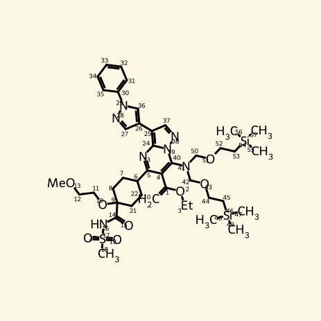 C=C(OCC)c1c(C2CCC(OCCOC)(C(=O)NS(C)(=O)=O)CC2)nc2c(-c3cnn(-c4ccccc4)c3)cnn2c1N(COCC[Si](C)(C)C)COCC[Si](C)(C)C